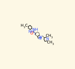 Cc1ccc(NC(=O)C2=Cc3cnn(Cc4ccc(C)nc4C)c3CC2)c(N)c1